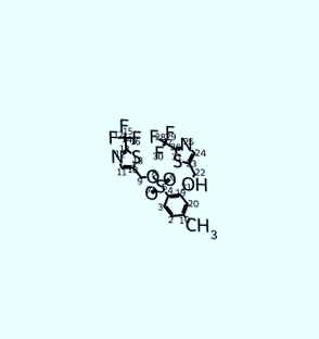 Cc1ccc(S(=O)(=O)OCc2cnc(C(F)(F)F)s2)cc1.OCc1cnc(C(F)(F)F)s1